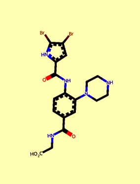 O=C(O)CNC(=O)c1ccc(NC(=O)c2cc(Br)c(Br)[nH]2)c(N2CCNCC2)c1